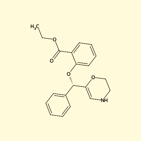 CCOC(=O)c1ccccc1O[C@H](C1=CNCCO1)c1ccccc1